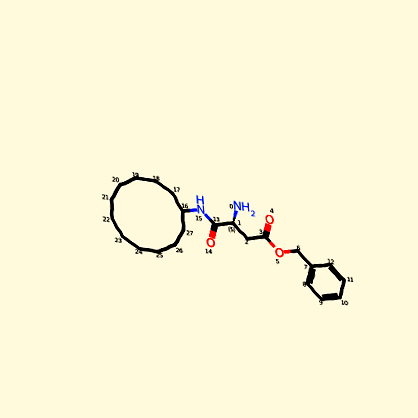 N[C@@H](CC(=O)OCc1ccccc1)C(=O)NC1CCCCCCCCCCC1